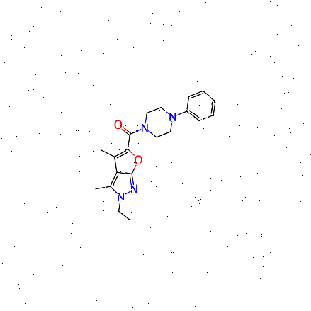 CCn1nc2oc(C(=O)N3CCN(c4ccccc4)CC3)c(C)c2c1C